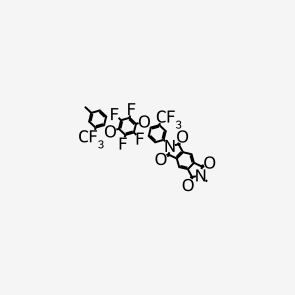 Cc1ccc(Oc2c(F)c(F)c(Oc3ccc(-n4c(=O)c5cc6c(=O)n(C)c(=O)c6cc5c4=O)cc3C(F)(F)F)c(F)c2F)c(C(F)(F)F)c1